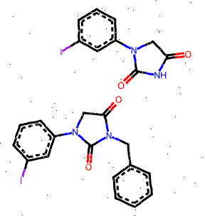 O=C1CN(c2cccc(I)c2)C(=O)N1.O=C1CN(c2cccc(I)c2)C(=O)N1Cc1ccccc1